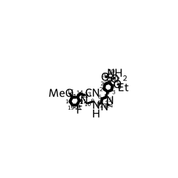 CCOc1cc(-c2cc(NCCn3c(C#N)cc4c(OC)ccc(F)c43)ncn2)ccc1S(N)(=O)=O